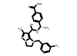 COC(=O)c1ccc([C@H](C)NC(O)c2c(C(F)(F)F)nn3c2N(Cc2cccc(C(F)(F)F)c2)CC3)cc1